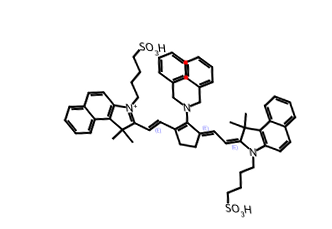 CC1(C)C(/C=C/C2=C(N(Cc3ccccc3)Cc3ccccc3)C(=C/C=C3/N(CCCCS(=O)(=O)O)c4ccc5ccccc5c4C3(C)C)/CC2)=[N+](CCCCS(=O)(=O)O)c2ccc3ccccc3c21